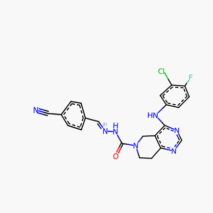 N#Cc1ccc(/C=N/NC(=O)N2CCc3ncnc(Nc4ccc(F)c(Cl)c4)c3C2)cc1